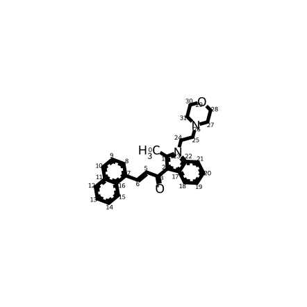 Cc1c(C(=O)/C=C/c2cccc3ccccc23)c2ccccc2n1CCN1CCOCC1